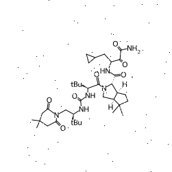 CC1(C)CC(=O)N(C[C@@H](NC(=O)N[C@H](C(=O)N2C[C@H]3[C@H](CCC3(C)C)[C@H]2C(=O)NC(CC2CC2)C(=O)C(N)=O)C(C)(C)C)C(C)(C)C)C(=O)C1